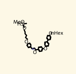 CCCCCCOc1ccc(-c2ccc(Oc3ccc(C(=O)/C=C/c4ccc(OCCCCCCOC[SiH](C)OC)cc4)cc3)cc2)cc1